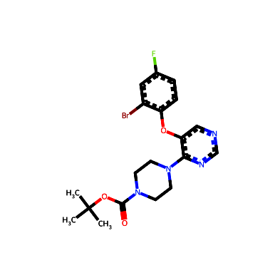 CC(C)(C)OC(=O)N1CCN(c2ncncc2Oc2ccc(F)cc2Br)CC1